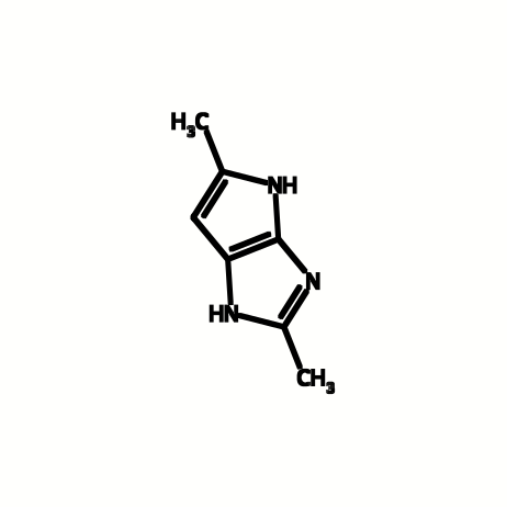 Cc1cc2[nH]c(C)nc2[nH]1